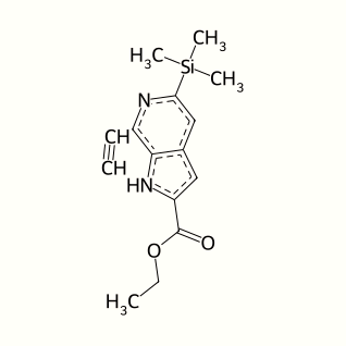 C#C.CCOC(=O)c1cc2cc([Si](C)(C)C)ncc2[nH]1